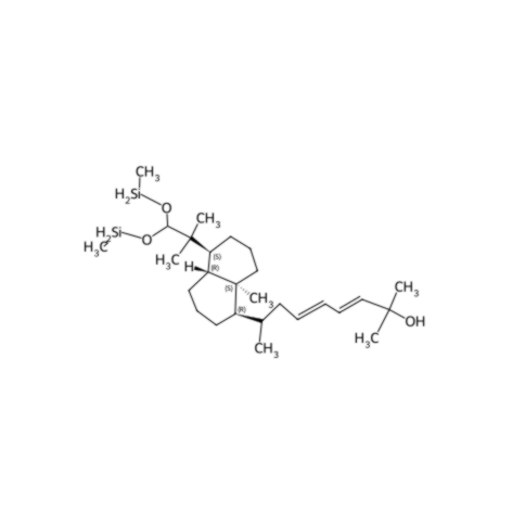 C[SiH2]OC(O[SiH2]C)C(C)(C)[C@H]1CCC[C@@]2(C)[C@@H](C(C)CC=CC=CC(C)(C)O)CCC[C@H]12